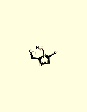 C=Cc1ncc(Br)n1C